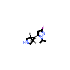 CC(C)n1nc(I)cc1[C@H]1[C@@H]2CNC[C@@H]21